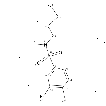 CCCCN(C)S(=O)(=O)c1ccc(C)c(Br)c1